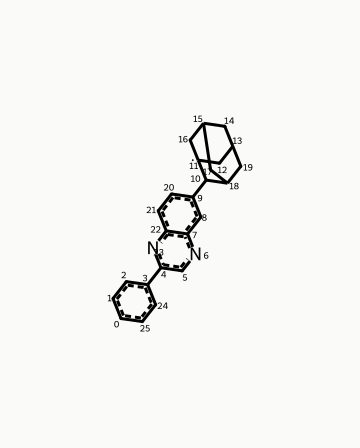 c1ccc(-c2cnc3cc(C4[C]5CC6CC(C5)CC4C6)ccc3n2)cc1